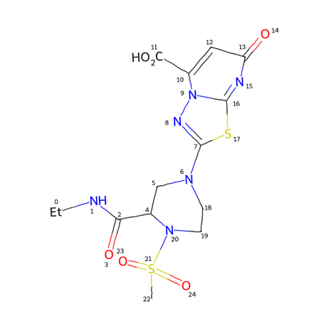 CCNC(=O)C1CN(c2nn3c(C(=O)O)cc(=O)nc3s2)CCN1S(C)(=O)=O